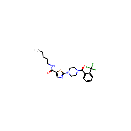 CCCCCNC(=O)c1cnc(N2CCN(C(=O)c3ccccc3C(F)(F)F)CC2)s1